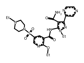 CCOc1ncc(S(=O)(=O)N2CCN(CC)CC2)cc1C(=O)Nc1c(C(N)=O)c(-c2cnccn2)nn1CC